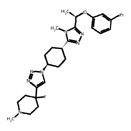 CC(C)c1cccc(O[C@H](C)c2nnc([C@H]3CC[C@H](n4cc(C5(F)CCN(C)CC5)nn4)CC3)n2C)c1